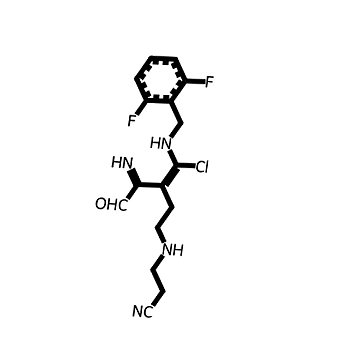 N#CCCNCC/C(C(=N)C=O)=C(\Cl)NCc1c(F)cccc1F